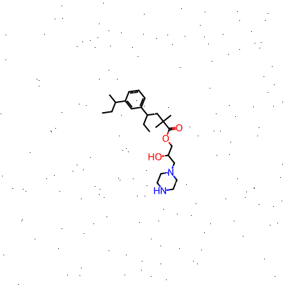 CCC(C)c1cccc(C(CC)CC(C)(C)C(=O)OCC(O)CN2CCNCC2)c1